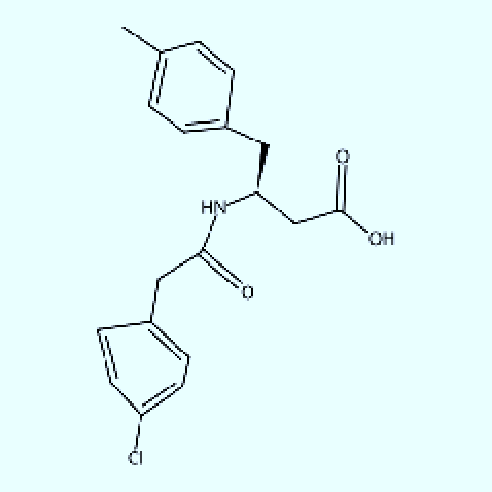 Cc1ccc(C[C@@H](CC(=O)O)NC(=O)Cc2ccc(Cl)cc2)cc1